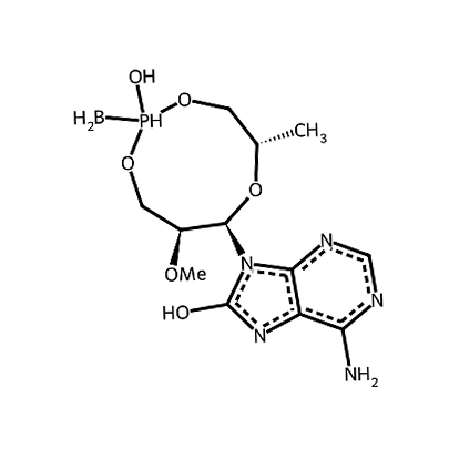 B[PH]1(O)OC[C@H](OC)[C@H](n2c(O)nc3c(N)ncnc32)O[C@@H](C)CO1